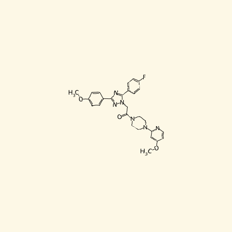 COc1ccc(-c2nc(-c3ccc(F)cc3)n(CC(=O)N3CCN(c4cc(OC)ccn4)CC3)n2)cc1